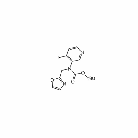 CC(C)(C)OC(=O)N(Cc1ncco1)c1cnccc1I